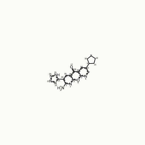 Nc1nc2oc3ncc(C4CCCC4)cc3c(=O)c2cc1-c1nnn[nH]1